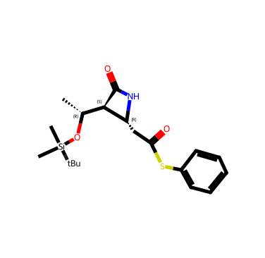 C[C@@H](O[Si](C)(C)C(C)(C)C)[C@H]1C(=O)N[C@@H]1CC(=O)Sc1ccccc1